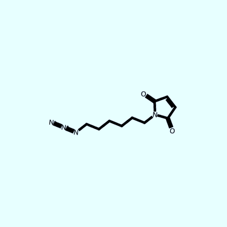 [N-]=[N+]=NCCCCCCN1C(=O)C=CC1=O